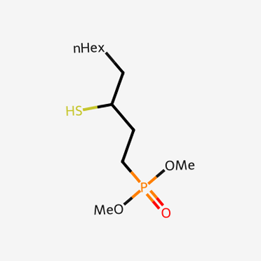 CCCCCCCC(S)CCP(=O)(OC)OC